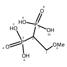 COCC(P(=O)(O)O)P(=O)(O)O